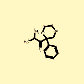 CC(N)C(=O)C1(c2ccccc2)CNCCO1